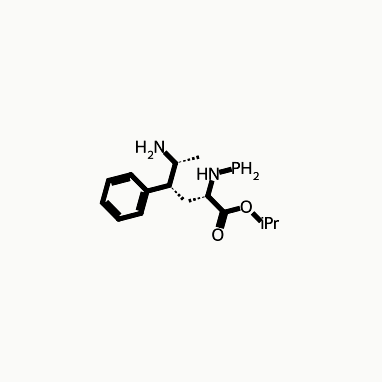 CC(C)OC(=O)[C@H](C[C@H](c1ccccc1)[C@@H](C)N)NP